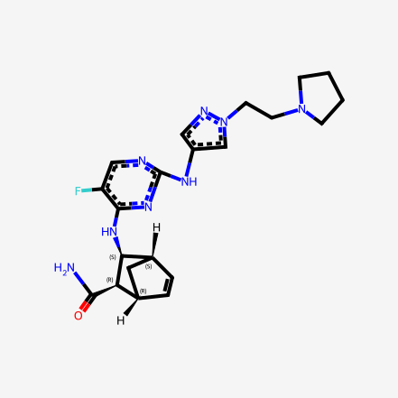 NC(=O)[C@H]1[C@@H](Nc2nc(Nc3cnn(CCN4CCCC4)c3)ncc2F)[C@@H]2C=C[C@H]1C2